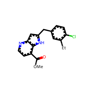 CCc1cc(Cc2cc3nccc(C(=O)OC)c3[nH]2)ccc1Cl